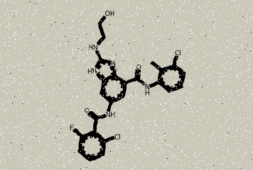 Cc1c(Cl)cccc1NC(=O)c1cc(NC(=O)c2c(F)cccc2Cl)cc2[nH]c(NCCO)nc12